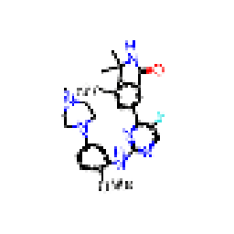 CCCc1cc(-c2nc(Nc3cc(N4CCN(C)CC4)ccc3OC)ncc2F)cc2c1C(C)(C)NC2=O